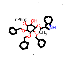 CCCCCOC1C(O)C(OC(C)c2c[nH]c3ccccc23)C(OCc2ccccc2)C(OCc2ccccc2)C1OCc1ccccc1